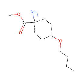 CCCCOC1CCC(N)(C(=O)OC)CC1